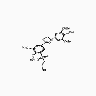 CCCOc1c(OC)cc([C@H]2CC[C@H](c3cc(OC)c(OC)c(OC)c3)O2)cc1S(=O)(=O)CCO